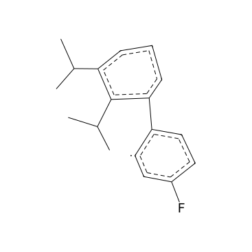 CC(C)c1cccc(-c2[c]cc(F)cc2)c1C(C)C